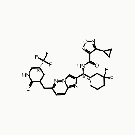 O=C(N[C@H](c1cn2nc(CC3C[C@@H](C(F)(F)F)CNC3=O)ccc2n1)[C@H]1CCCC(F)(F)C1)c1nonc1C1CC1